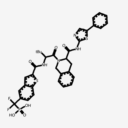 CC(C)(C)C(NC(=O)c1cc2cc(C(F)(F)P(=O)(O)O)ccc2s1)C(=O)N1Cc2ccccc2CC1C(=O)Nc1ncc(-c2ccccc2)s1